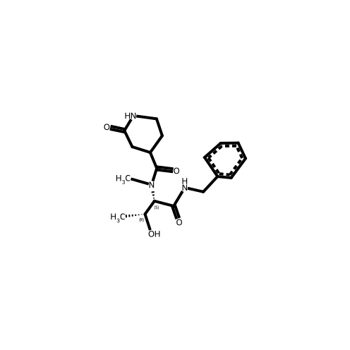 C[C@@H](O)[C@@H](C(=O)NCc1ccccc1)N(C)C(=O)C1CCNC(=O)C1